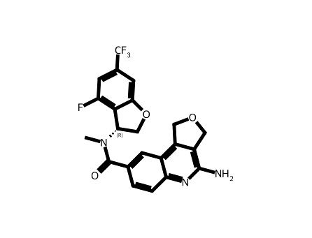 CN(C(=O)c1ccc2nc(N)c3c(c2c1)COC3)[C@H]1COc2cc(C(F)(F)F)cc(F)c21